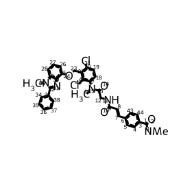 CNC(=O)c1ccc(C=CC(=O)NCC(=O)N(C)c2ccc(Cl)c(COc3cccc4c3nc(-c3ccccc3)n4C)c2Cl)cc1